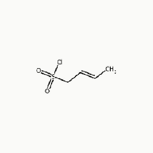 CC=CCS(=O)(=O)Cl